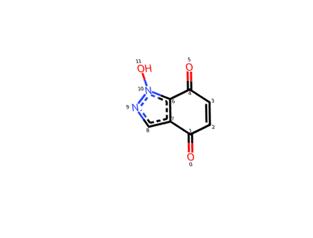 O=C1C=CC(=O)c2c1cnn2O